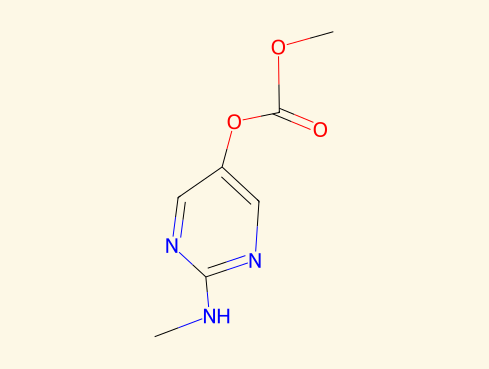 CNc1ncc(OC(=O)OC)cn1